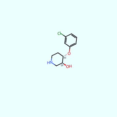 O[C@H]1CNCC[C@@H]1Oc1cccc(Cl)c1